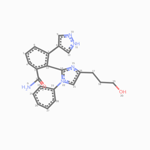 NC(=O)c1cccc(-c2cn[nH]c2)c1-c1nc(CCCO)cn1-c1ccccc1